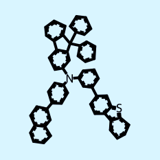 c1ccc(C2(c3ccccc3)c3ccccc3-c3ccc(N(c4ccc(-c5ccc6ccccc6c5)cc4)c4cccc(-c5ccc6c(c5)sc5ccccc56)c4)cc32)cc1